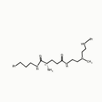 CC(C)CCCNC(=O)[C@@H](N)CCC(=O)NCCN(C)CCNC(C)C